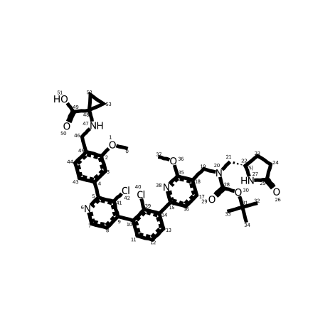 COc1cc(-c2nccc(-c3cccc(-c4ccc(CN(C[C@@H]5CCC(=O)N5)C(=O)OC(C)(C)C)c(OC)n4)c3Cl)c2Cl)ccc1CNC1(C(=O)O)CC1